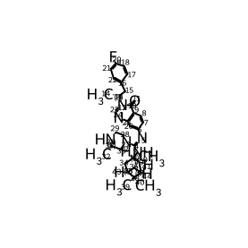 C[C@H]1[C@@H](NC(=Nc2ccc3c(=O)n([C@H](C)Cc4ccc(F)cc4)cnc3c2)N2CCN[C@@H](C)C2)C[C@@H]2C[C@@H]1C2(C)C